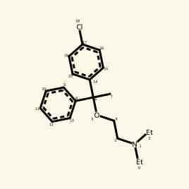 CCN(CC)CCOC(C)(c1ccccc1)c1ccc(Cl)cc1